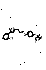 CCC(C)(Oc1ccc(OCCCc2cc(-c3ccccc3Cl)no2)cc1)C(=O)O